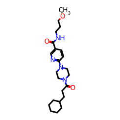 COCCCNC(=O)c1ccc(N2CCN(C(=O)CCC3CCCCC3)CC2)nc1